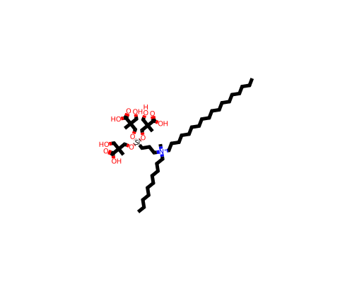 CCCCCCCCCCCCCCCCCC[N+](C)(CCCCCCCCCC)CCC[Si](OCC(C)(CO)C(=O)O)(OCC(C)(CO)C(=O)O)OCC(C)(CO)C(=O)O